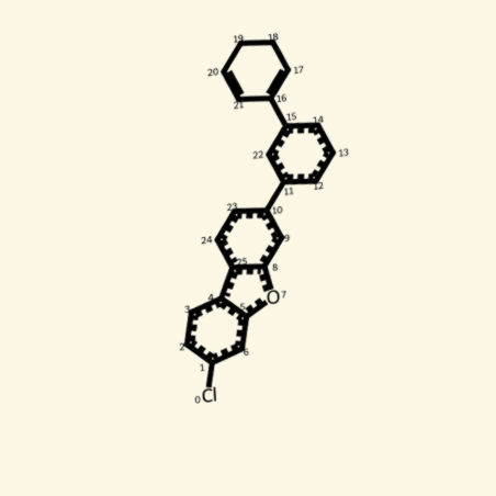 Clc1ccc2c(c1)oc1cc(-c3cccc(C4=CCCC=C4)c3)ccc12